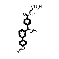 O=C(O)CCNC(=O)c1ccc(C(O)c2cccc(-c3ccc(OC(F)(F)F)cc3)c2)cc1